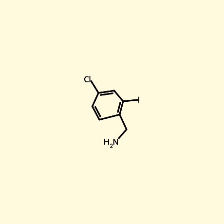 NCc1ccc(Cl)cc1I